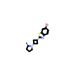 C[C@@H]1CCCN1[C@H]1C[C@@H](c2nc3ccc(Br)cc3s2)C1